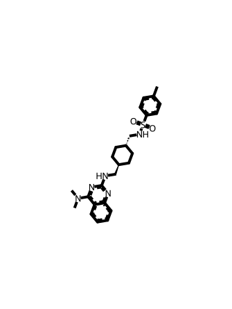 Cc1ccc(S(=O)(=O)NC[C@H]2CC[C@H](CNc3nc(N(C)C)c4ccccc4n3)CC2)cc1